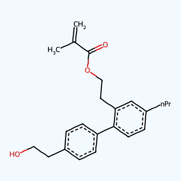 C=C(C)C(=O)OCCc1cc(CCC)ccc1-c1ccc(CCO)cc1